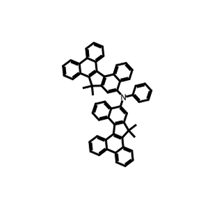 CC1(C)c2cc(N(c3ccccc3)c3cc4c(c5ccccc35)-c3c(c5ccccc5c5ccccc35)C4(C)C)c3ccccc3c2-c2c1c1ccccc1c1ccccc21